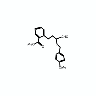 COC(=O)c1ccccc1CCC(C=O)SCc1ccc(OC)cc1